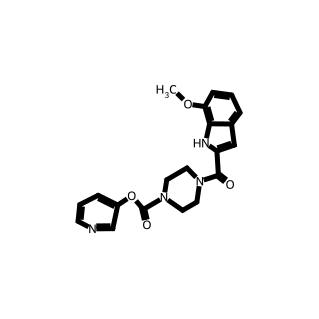 COc1cccc2cc(C(=O)N3CCN(C(=O)Oc4cccnc4)CC3)[nH]c12